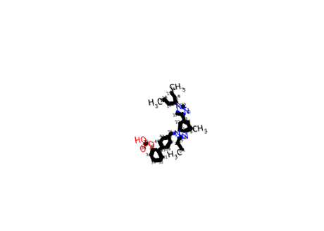 CCCc1nc2c(C)cc(-c3cn(C(CCC)CCC)cn3)cc2n1Cc1ccc(-c2ccccc2OC(=O)O)cc1